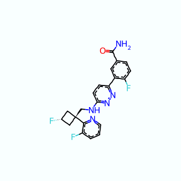 NC(=O)c1ccc(F)c(-c2ccc(NC[C@]3(c4ncccc4F)C[C@@H](F)C3)nn2)c1